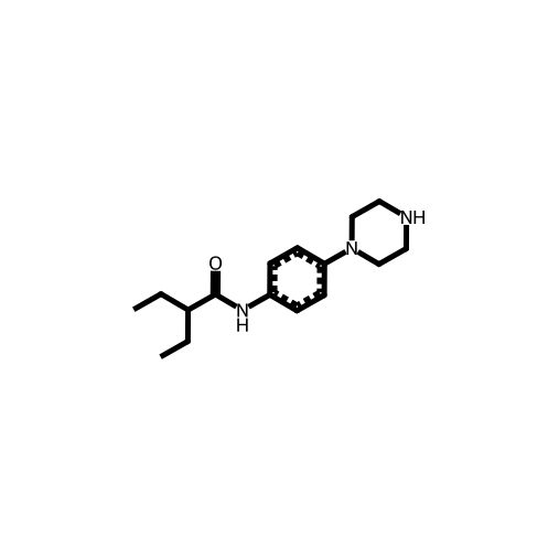 CCC(CC)C(=O)Nc1ccc(N2CCNCC2)cc1